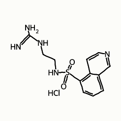 Cl.N=C(N)NCCNS(=O)(=O)c1cccc2cnccc12